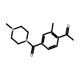 CC(=O)c1ccc(C(=O)N2CCN(C)CC2)cc1C